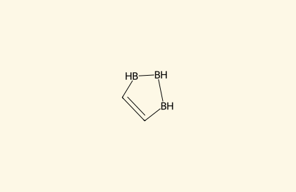 B1BC=CB1